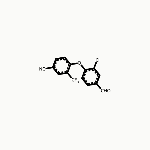 N#Cc1ccc(Oc2ccc(C=O)cc2Cl)c(C(F)(F)F)c1